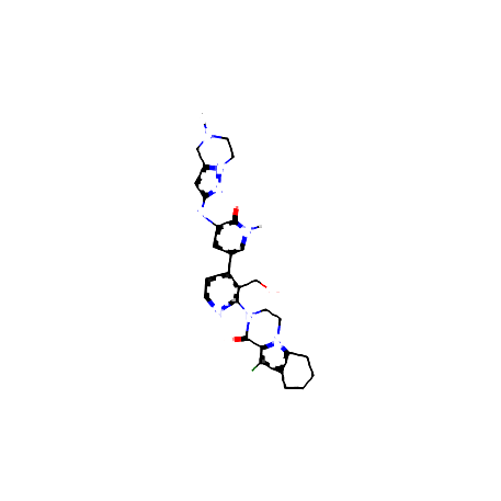 CC(=O)N1CCn2nc(Nc3cc(-c4ccnc(N5CCn6c7c(c(F)c6C5=O)CCCC7)c4CO)cn(C)c3=O)cc2C1